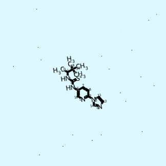 CC(NC(=S)Nc1ccc(-n2ccnc2)nc1)C(C)(C)C